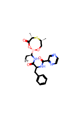 CC(C)C[C@H](NC(=O)C(Cc1ccccc1)NC(=O)c1cnccn1)B1OC[C@@H](C)S[C@@H](C)C(=O)O1